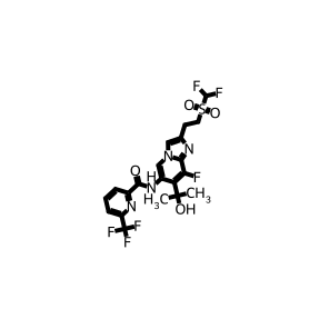 CC(C)(O)c1c(NC(=O)c2cccc(C(F)(F)F)n2)cn2cc(CCS(=O)(=O)C(F)F)nc2c1F